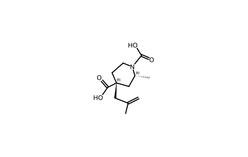 C=C(C)C[C@@]1(C(=O)O)CCN(C(=O)O)[C@H](C)C1